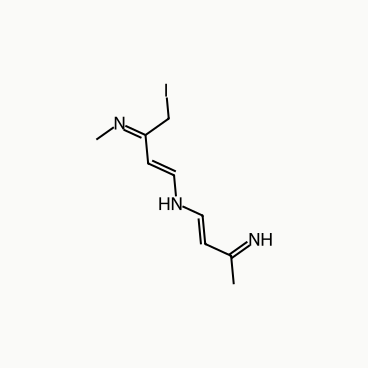 C/N=C(\C=C\N/C=C/C(C)=N)CI